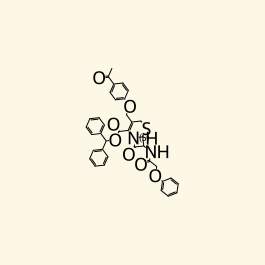 CC(=O)c1ccc(OCC2=C(C(=O)OC(c3ccccc3)c3ccccc3)N3C(=O)C(NC(=O)COc4ccccc4)[C@@H]3SC2)cc1